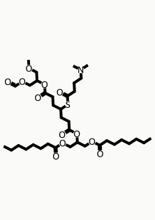 CCCCCCCC(=O)OCC(COC(=O)CCCCCCC)OC(=O)CCC(CCC(=O)OC(COC)COC=O)SC(=O)CCCN(C)C